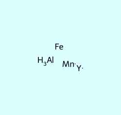 [AlH3].[Fe].[Mn].[Y]